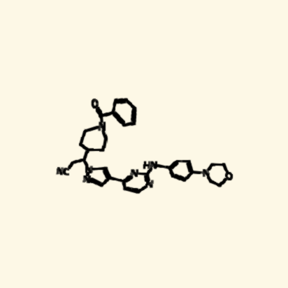 N#CCC(C1CCN(C(=O)c2ccccc2)CC1)n1cc(-c2ccnc(Nc3ccc(N4CCOCC4)cc3)n2)cn1